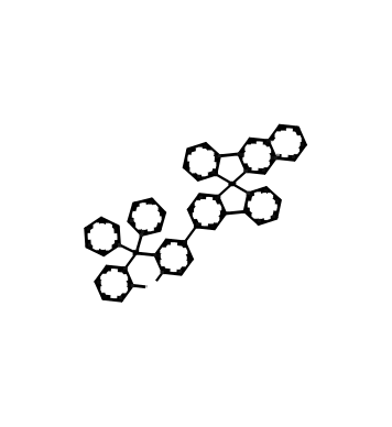 c1ccc(C2(c3ccccc3)c3ccccc3Oc3ccc(-c4ccc5c(c4)-c4ccccc4C54c5ccccc5-c5cc6ccccc6cc54)cc32)cc1